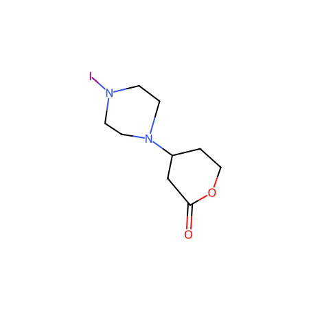 O=C1CC(N2CCN(I)CC2)CCO1